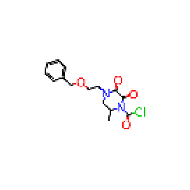 CC1CN(CCOCc2ccccc2)C(=O)C(=O)N1C(=O)Cl